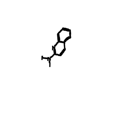 IN(I)c1ccc2ccccc2n1